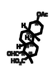 CC(=O)O[C@H]1CC[C@@]2(C)[C@@H](CC[C@@H]3[C@@H]2CC[C@@](C)(C(=O)O)[C@H]3C=O)C1